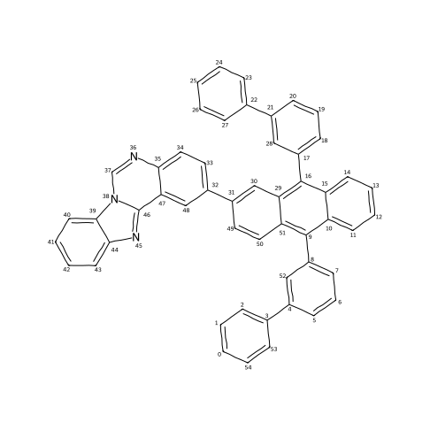 c1ccc(-c2cccc(-c3c4ccccc4c(-c4cccc(-c5ccccc5)c4)c4cc(-c5ccc6ncn7c8ccccc8nc7c6c5)ccc34)c2)cc1